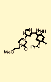 COCCN1CCN(c2cc(-c3n[nH]c4cc(F)c(OC(C)C)cc34)ncn2)CC1=O